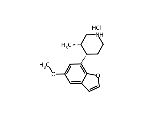 COc1cc([C@H]2CCNC[C@H]2C)c2occc2c1.Cl